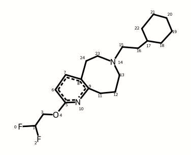 FC(F)COc1ccc2c(n1)CCCN(CCC1CCCCC1)CC2